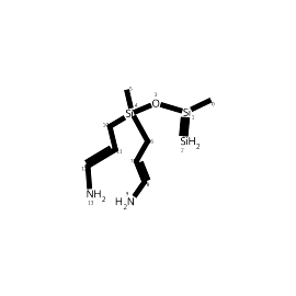 C[Si](=[SiH2])O[Si](C)(CC=CN)CC=CN